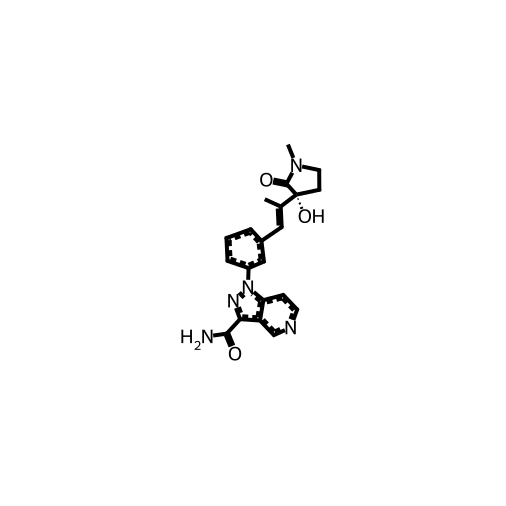 C/C(=C\c1cccc(-n2nc(C(N)=O)c3cnccc32)c1)[C@]1(O)CCN(C)C1=O